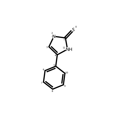 S=C1[N]C=C(c2ccccc2)N1